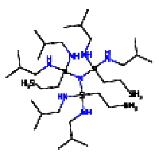 CC(C)CN[Si](CC[SiH3])(NCC(C)C)N([Si](CC[SiH3])(NCC(C)C)NCC(C)C)[Si](CC[SiH3])(NCC(C)C)NCC(C)C